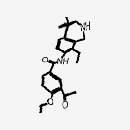 CCOc1ccc(C(=O)Nc2ccc3c(c2CC)CNCC3(C)C)cc1C(C)=O